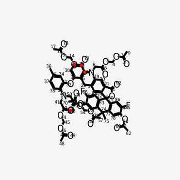 CC(=O)OCOC(=O)CN(CC(=O)OCOC(C)=O)c1cc2c(cc1Cc1ccccc1Oc1cc(C)ccc1N(CC(=O)OCOC(C)=O)CC(=O)OCOC(C)=O)C1(OC2=O)c2cc(F)c(OC(C)=O)cc2C(C)(C)c2cc(OC(C)=O)c(F)cc21